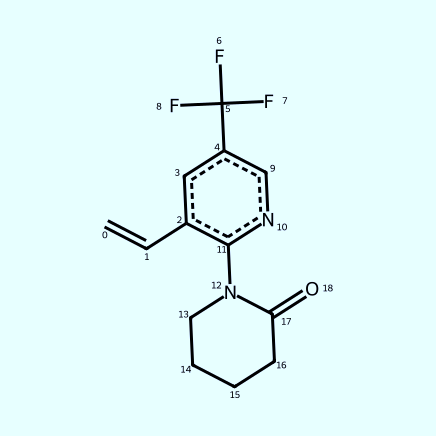 C=Cc1cc(C(F)(F)F)cnc1N1CCCCC1=O